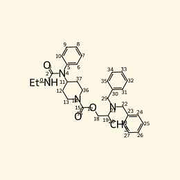 CCNC(=O)N(c1ccccc1)C1CCN(C(=O)OCC(C)N(Cc2ccccc2)Cc2ccccc2)CC1